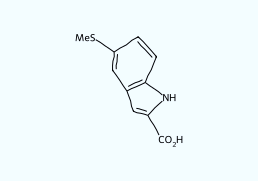 CSc1ccc2[nH]c(C(=O)O)cc2c1